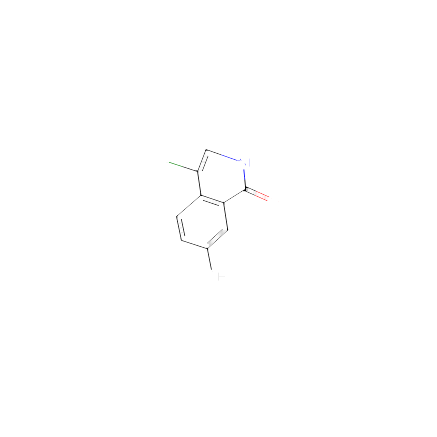 Cc1ccc2c(Cl)c[nH]c(=O)c2c1